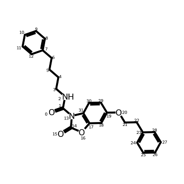 O=C(NCCCCc1ccccc1)n1c(=O)oc2cc(OCCc3ccccc3)ccc21